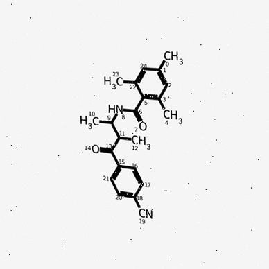 Cc1cc(C)c(C(=O)NC(C)C(C)C(=O)c2ccc(C#N)cc2)c(C)c1